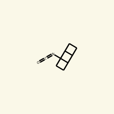 O=C=NC12C3C4C5C3C1C5C42